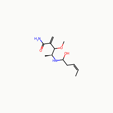 C=C(C(N)=O)C(OC)[C@H](C)NC(O)C/C=C\C